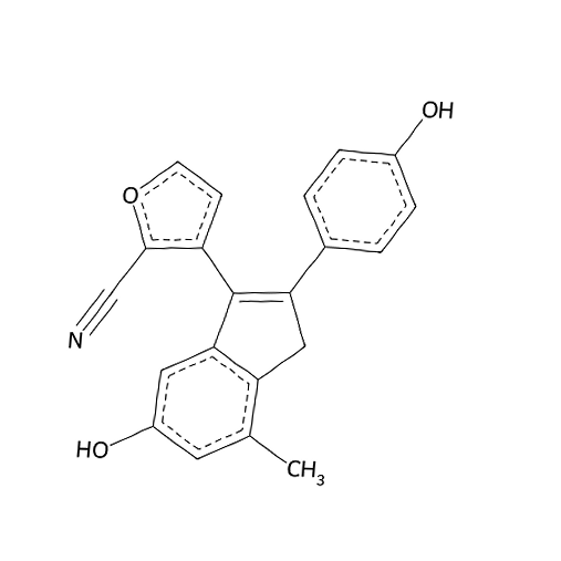 Cc1cc(O)cc2c1CC(c1ccc(O)cc1)=C2c1ccoc1C#N